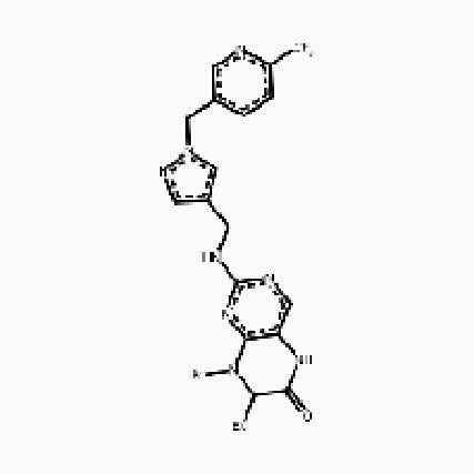 CCC1C(=O)Nc2cnc(NCc3cnn(Cc4ccc(C(F)(F)F)nc4)c3)nc2N1C(C)C